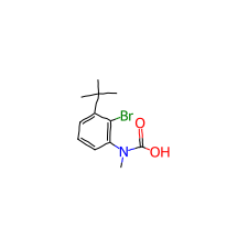 CN(C(=O)O)c1cccc(C(C)(C)C)c1Br